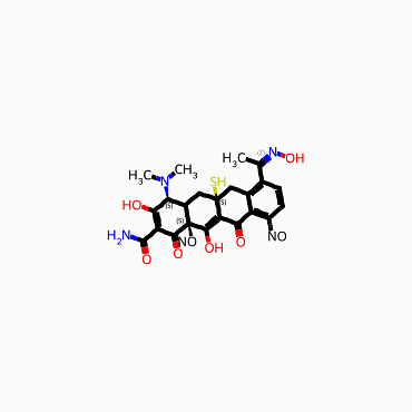 C/C(=N/O)c1ccc(N=O)c2c1C[C@@]1(S)CC3[C@H](N(C)C)C(O)=C(C(N)=O)C(=O)[C@@]3(N=O)C(O)=C1C2=O